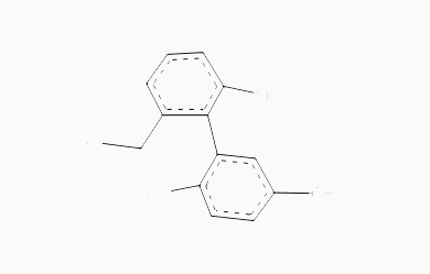 Cc1ccc(C)c(-c2c([SiH3])cccc2CCl)c1